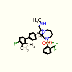 CNCC1[C@@H](c2ccc(-c3ccc(F)c(C)c3C)cc2)[C@@H]2CN(S(=O)(=O)c3ccccc3C(F)(F)F)CCCCN12